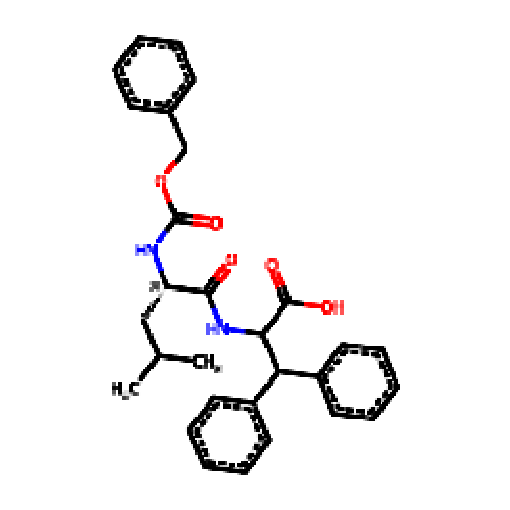 CC(C)C[C@H](NC(=O)OCc1ccccc1)C(=O)NC(C(=O)O)C(c1ccccc1)c1ccccc1